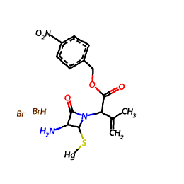 Br.C=C(C)C(C(=O)OCc1ccc([N+](=O)[O-])cc1)N1C(=O)C(N)C1[S][Hg].[Br-]